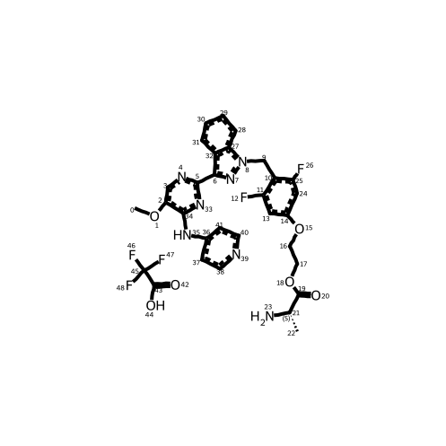 COc1cnc(-c2nn(Cc3c(F)cc(OCCOC(=O)[C@H](C)N)cc3F)c3ccccc23)nc1Nc1ccncc1.O=C(O)C(F)(F)F